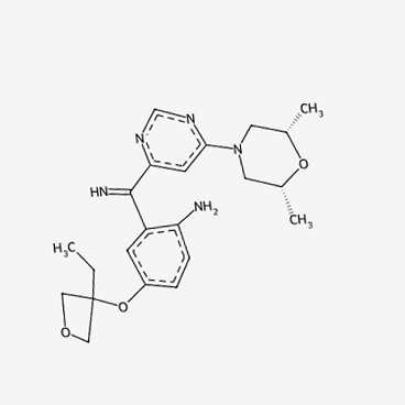 CCC1(Oc2ccc(N)c(C(=N)c3cc(N4C[C@@H](C)O[C@@H](C)C4)ncn3)c2)COC1